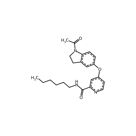 CCCCCCNC(=O)c1cc(Oc2ccc3c(c2)CCN3C(C)=O)ccn1